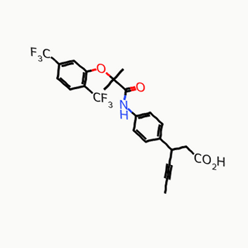 CC#CC(CC(=O)O)c1ccc(NC(=O)C(C)(C)Oc2cc(C(F)(F)F)ccc2C(F)(F)F)cc1